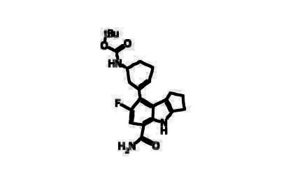 CC(C)(C)OC(=O)N[C@H]1CCC=C(c2c(F)cc(C(N)=O)c3[nH]c4c(c23)CCC4)C1